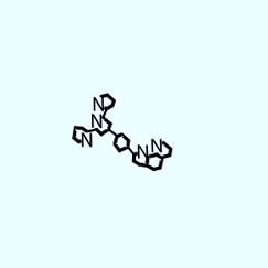 c1ccc(-c2cc(-c3ccc(-c4ccc5ccc6cccnc6c5n4)cc3)cc(-c3ccccn3)n2)nc1